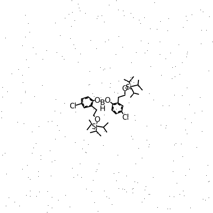 CC(C)[Si](OCCc1cc(Cl)ccc1OBOc1ccc(Cl)cc1CCO[Si](C(C)C)(C(C)C)C(C)C)(C(C)C)C(C)C